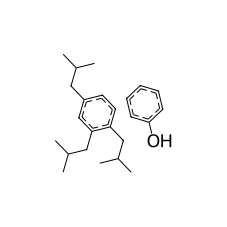 CC(C)Cc1ccc(CC(C)C)c(CC(C)C)c1.Oc1ccccc1